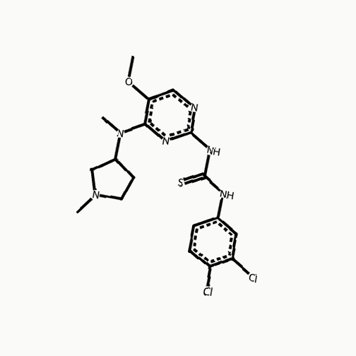 COc1cnc(NC(=S)Nc2ccc(Cl)c(Cl)c2)nc1N(C)C1CCN(C)C1